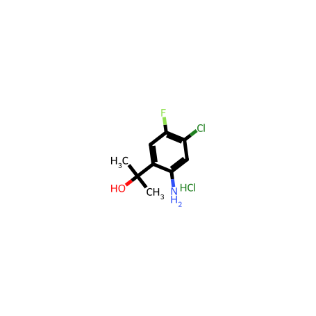 CC(C)(O)c1cc(F)c(Cl)cc1N.Cl